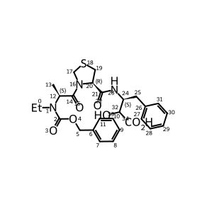 CCN(C(=O)OCc1ccccc1)[C@@H](C)C(=O)N1CSC[C@H]1C(=O)N[C@@H](Cc1ccccc1)C(O)C(=O)O